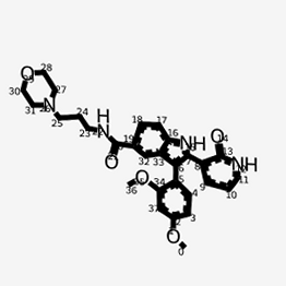 COc1ccc(-c2c(-c3ccc[nH]c3=O)[nH]c3ccc(C(=O)NCCCN4CCOCC4)cc23)c(OC)c1